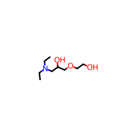 CCN(CC)CC(O)COCCO